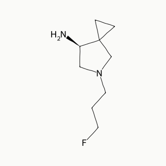 N[C@@H]1CN(CCCF)CC12CC2